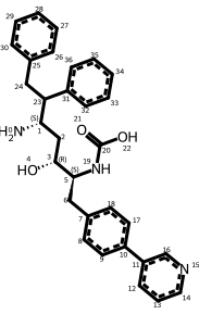 N[C@@H](C[C@@H](O)[C@H](Cc1ccc(-c2cccnc2)cc1)NC(=O)O)C(Cc1ccccc1)c1ccccc1